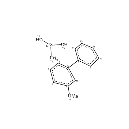 COc1cccc(-c2ccccc2)c1.CP(O)O